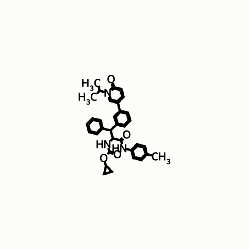 Cc1ccc(NC(=O)C(NC(=O)OC2CC2)C(c2ccccc2)c2cccc(-c3ccc(=O)n(C(C)C)c3)c2)cc1